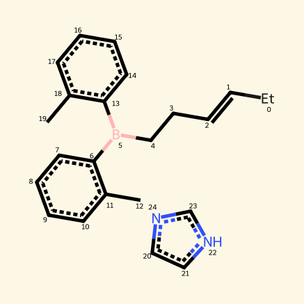 CCC=CCCB(c1ccccc1C)c1ccccc1C.c1c[nH]cn1